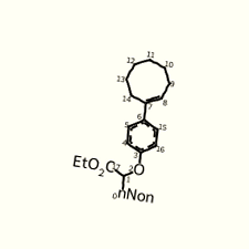 CCCCCCCCCC(Oc1ccc(C2=CCCCCCC2)cc1)C(=O)OCC